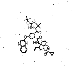 C=CC(C)[C@@](C=C)(NC(=O)[C@@H]1C[C@@H](Oc2cnc3ccccc3n2)CN1C(=O)[C@@H](NC(=O)OC(C)(C)C)C(C)(C)C)C(=O)NS(=O)(=O)C1CC1